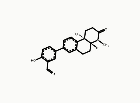 CN1C(=O)CC[C@]2(C)c3ccc(-c4ccc(O)c(C=O)c4)cc3CC[C@@H]12